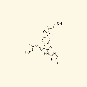 C[C@H](CO)OC1=CC1(C(=O)Nc1ncc(F)s1)c1ccc(S(=O)(=O)N(C)CCO)cc1